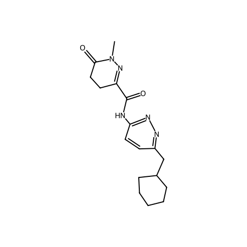 CN1N=C(C(=O)Nc2ccc(CC3CCCCC3)nn2)CCC1=O